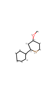 COC1CCSC([C]2CCCCC2)C1